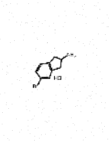 Cl.NC1Cc2ccc(Br)cc2C1